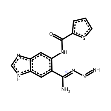 N=N/N=C(\N)c1cc2[nH]cnc2cc1NC(=O)c1cccs1